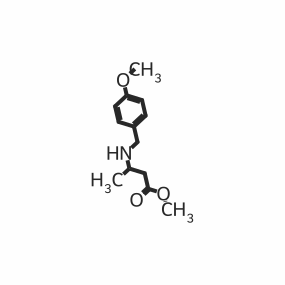 COC(=O)CC(C)NCc1ccc(OC)cc1